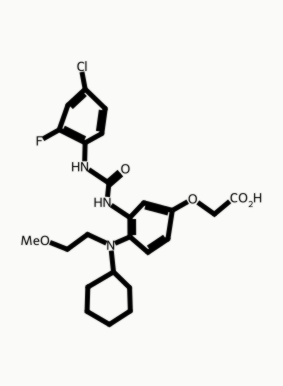 COCCN(c1ccc(OCC(=O)O)cc1NC(=O)Nc1ccc(Cl)cc1F)C1CCCCC1